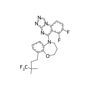 CC(C)(CCc1cccc2c1OCCCN2c1nc2nncn2c2ccc(F)c(F)c12)C(F)(F)F